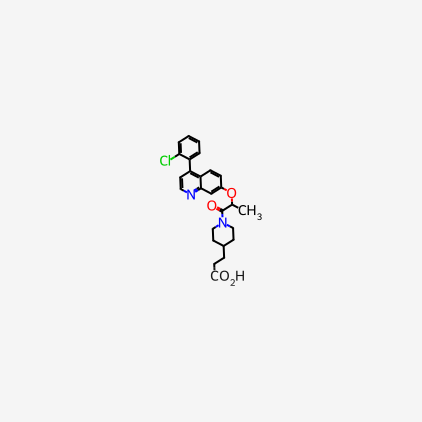 CC(Oc1ccc2c(-c3ccccc3Cl)ccnc2c1)C(=O)N1CCC(CCC(=O)O)CC1